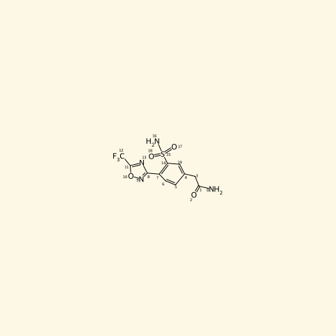 NC(=O)Cc1ccc(-c2noc(C(F)(F)F)n2)c(S(N)(=O)=O)c1